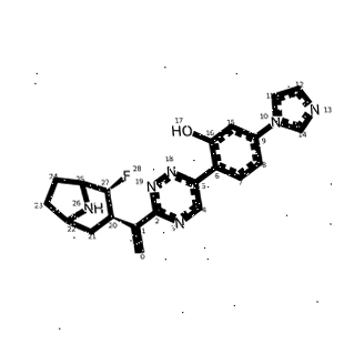 C=C(c1ncc(-c2ccc(-n3ccnc3)cc2O)nn1)[C@H]1CC2CCC(N2)[C@H]1F